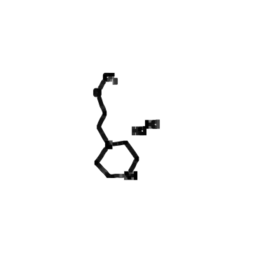 Cl.Cl.FC(F)(F)OCCN1CCNCC1